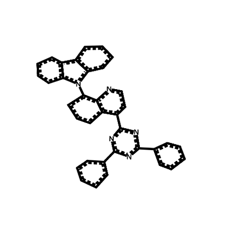 c1ccc(-c2nc(-c3ccccc3)nc(-c3ccnc4c(-n5c6ccccc6c6ccccc65)cccc34)n2)cc1